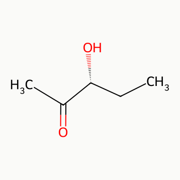 CC[C@@H](O)C(C)=O